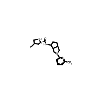 O=C(NC1CCC2CN(c3cccc(C(F)(F)F)n3)CC21)[C@@H]1CC(F)CN1